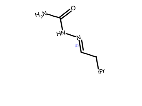 CC(C)C/C=N/NC(N)=O